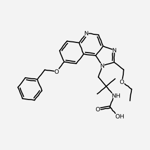 CCOCc1nc2cnc3ccc(OCc4ccccc4)cc3c2n1CC(C)(C)NC(=O)O